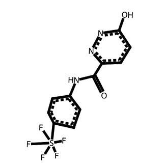 O=C(Nc1ccc(S(F)(F)(F)(F)F)cc1)c1ccc(O)nn1